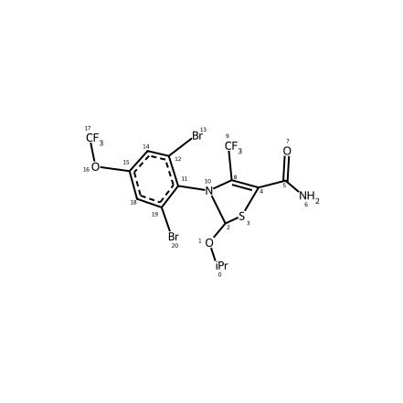 CC(C)OC1SC(C(N)=O)=C(C(F)(F)F)N1c1c(Br)cc(OC(F)(F)F)cc1Br